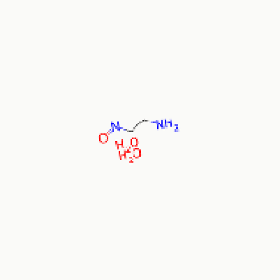 NCCN=O.O.O